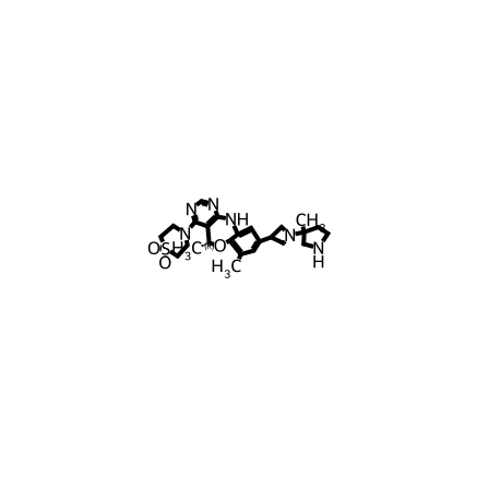 Cc1cc(C2CN(C3(C)CCNC3)C2)cc2c1O[C@H](C)c1c(ncnc1N1CCS(=O)(=O)CC1)N2